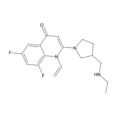 C=Cn1c(N2CCC(CNCC)C2)cc(=O)c2cc(F)cc(F)c21